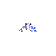 CCCNc1nc(Nc2ccc(C(N)=O)cc2)ncc1C#CCCCNC(CCOC)(CCOC)CNC(=O)OCC1c2ccccc2-c2ccccc21